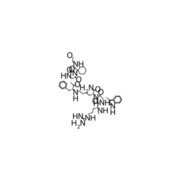 CN[C@@H](CCCNC(=N)N)C(=O)N[C@@H](Cc1c[nH]c2ccccc12)C(=O)N[C@@H](CCCCN[C@@H](Cc1ccccc1)C(=O)C[C@@H]1NC(=O)N(C2(C(=O)NCC=O)CCCCC2)C1=O)C(N)=O